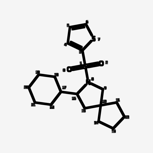 O=S(=O)(c1cccs1)N1CC2(CCCC2)CC1C1CCCCC1